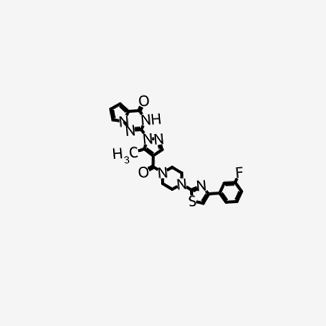 Cc1c(C(=O)N2CCN(c3nc(-c4cccc(F)c4)cs3)CC2)cnn1-c1nn2cccc2c(=O)[nH]1